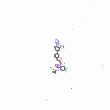 CCc1cc(-c2ccc3cc(C(=O)NC4(C(=O)NC5(C#N)CC5)CCC(F)(F)CC4)oc3c2)ccc1-n1cncn1